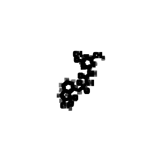 COc1nc(C)nc(NC(=O)NS(=O)(=O)Cc2cccc3c2S(=O)(=O)C(C)=C3)n1